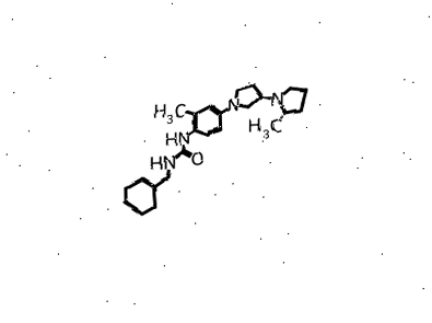 Cc1cc(N2CC[C@@H](N3CCC[C@@H]3C)C2)ccc1NC(=O)NCC1CCCCC1